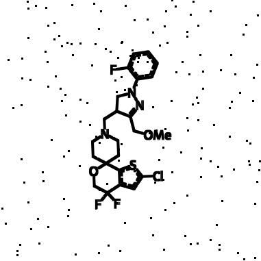 COCC1=NN(c2ccccc2F)CC1CN1CCC2(CC1)OCC(F)(F)c1cc(Cl)sc12